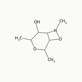 CC1OC(C)C2ON(C)C2C1O